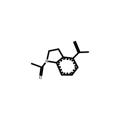 C=C(C)c1cccc2c1CCN2C(C)=O